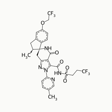 Cc1ccc(-n2nc3c(c2C(=O)NS(=O)(=O)CCC(F)(F)F)C(=O)N[C@@]2(C3)c3ccc(OCC(F)(F)F)cc3C[C@@H]2C)nc1